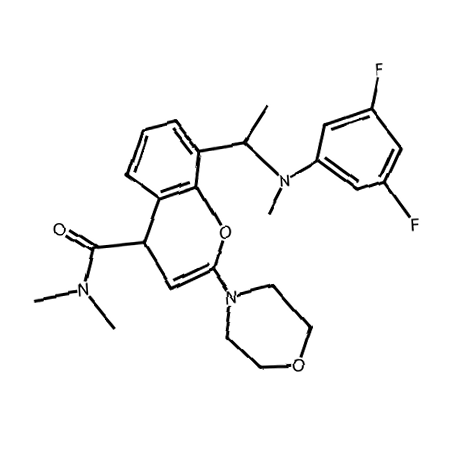 CC(c1cccc2c1OC(N1CCOCC1)=CC2C(=O)N(C)C)N(C)c1cc(F)cc(F)c1